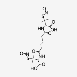 CC(C)(SN=O)C(NC(=O)CCCCC(=O)NC(C(=O)O)C(C)(C)SN=O)C(=O)O